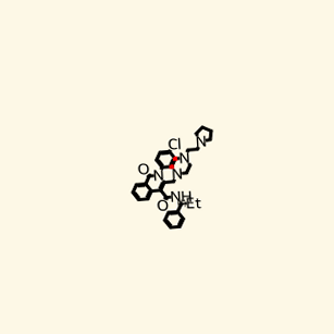 CC[C@H](NC(=O)c1c(CN2CCN(CCN3CCCC3)CC2)n(-c2ccc(Cl)cc2)c(=O)c2ccccc12)c1ccccc1